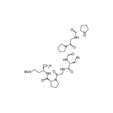 CSCC[C@H](NC(=O)[C@@H]1CCCN1C(=O)CNC(=O)[C@H](CC(C)C)NC(=O)[C@@H]1CCCN1C(=O)CNC(=O)[C@@H]1CCCN1)C(=O)O